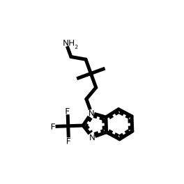 CC(C)(CCN)CCn1c(C(F)(F)F)nc2ccccc21